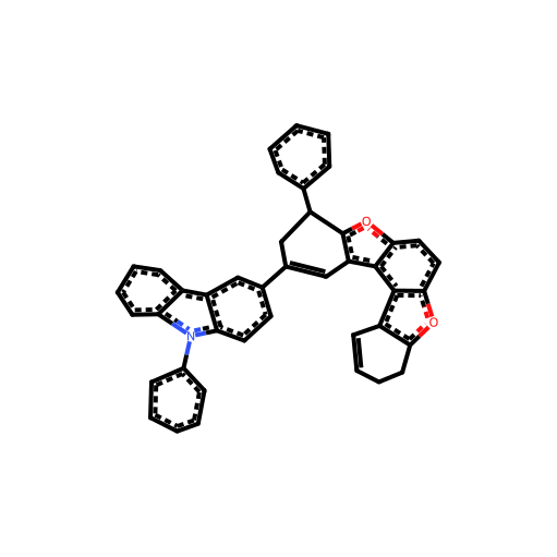 C1=Cc2c(oc3ccc4oc5c(c4c23)C=C(c2ccc3c(c2)c2ccccc2n3-c2ccccc2)CC5c2ccccc2)CC1